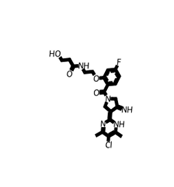 CC1=N/C(=C2\CN(C(=O)c3ccc(F)cc3OCCNC(=O)CCO)CC2=N)NC(C)=C1Cl